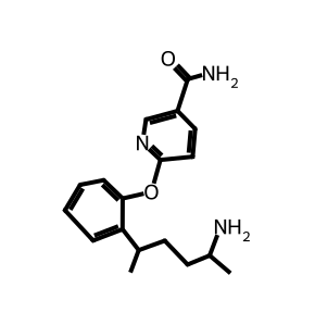 CC(N)CCC(C)c1ccccc1Oc1ccc(C(N)=O)cn1